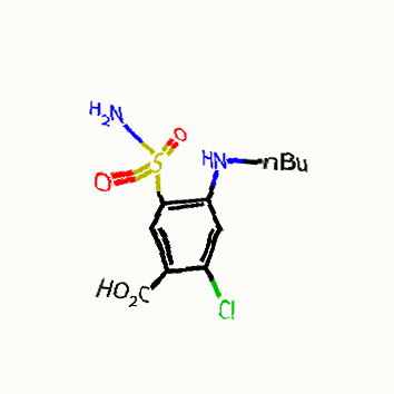 CCCCNc1cc(Cl)c(C(=O)O)cc1S(N)(=O)=O